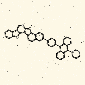 c1ccc(-c2c3ccccc3c(-c3ccc(-c4ccc5c(ccc6c5oc5ccc7c8ccccc8oc7c56)c4)cc3)c3ccccc23)cc1